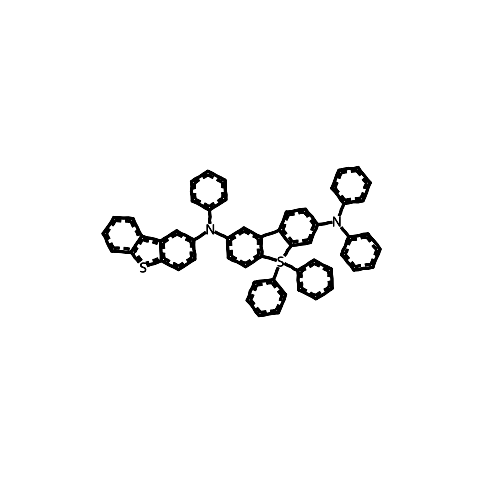 c1ccc(N(c2ccccc2)c2ccc3c(c2)S(c2ccccc2)(c2ccccc2)c2ccc(N(c4ccccc4)c4ccc5sc6ccccc6c5c4)cc2-3)cc1